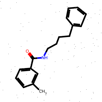 Cc1cccc(C(=O)NCCCCc2ccccc2)c1